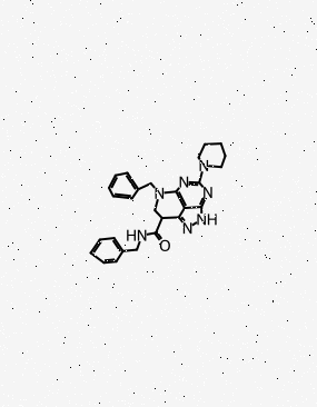 O=C(NCc1ccccc1)C1CN(Cc2ccccc2)c2nc(N3CCCCC3)nc3[nH]nc1c23